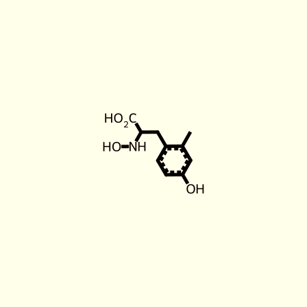 Cc1cc(O)ccc1CC(NO)C(=O)O